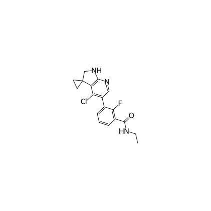 CCNC(=O)c1cccc(-c2cnc3c(c2Cl)C2(CC2)CN3)c1F